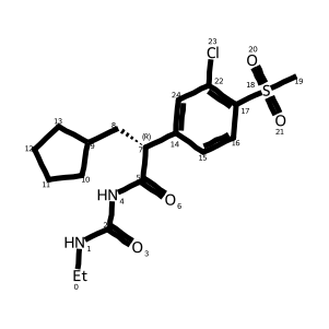 CCNC(=O)NC(=O)[C@H](CC1CCCC1)c1ccc(S(C)(=O)=O)c(Cl)c1